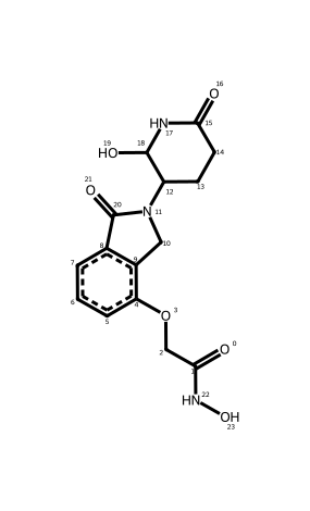 O=C(COc1cccc2c1CN(C1CCC(=O)NC1O)C2=O)NO